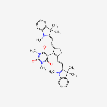 CN1/C(=C\C=C2/CCC(/C=C/C3=[N+](C)c4ccccc4C3(C)C)=C2c2c([O-])n(C)c(=O)n(C)c2=O)C(C)(C)c2ccccc21